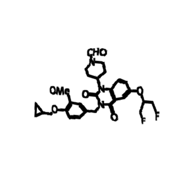 COc1cc(Cn2c(=O)c3cc(OC(CF)CF)ccc3n(C3CCN(C=O)CC3)c2=O)ccc1OCC1CC1